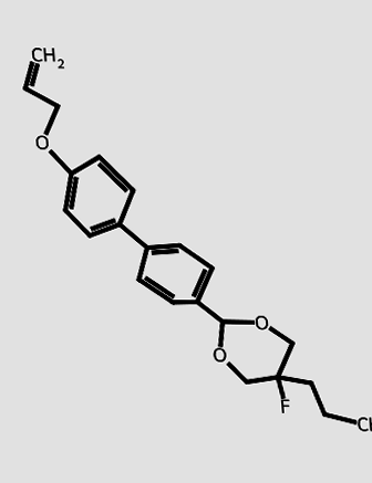 C=CCOc1ccc(-c2ccc(C3OCC(F)(CCC)CO3)cc2)cc1